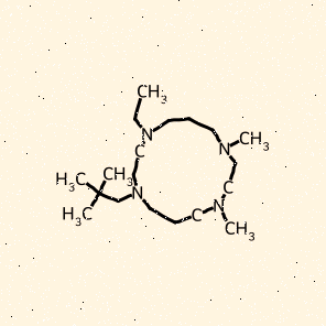 CCN1CCCN(C)CCN(C)CCCN(CC(C)(C)C)CC1